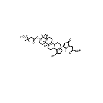 CNC(=O)Cn1c(=O)cc([C@]23CCC(C(C)C)=C2C2CC[C@@H]4C5(C)CC[C@H](OC(=O)CC(C)(C)C(=O)O)C(C)(C)[C@@H]5CC[C@@]4(C)C2CC3)n1C